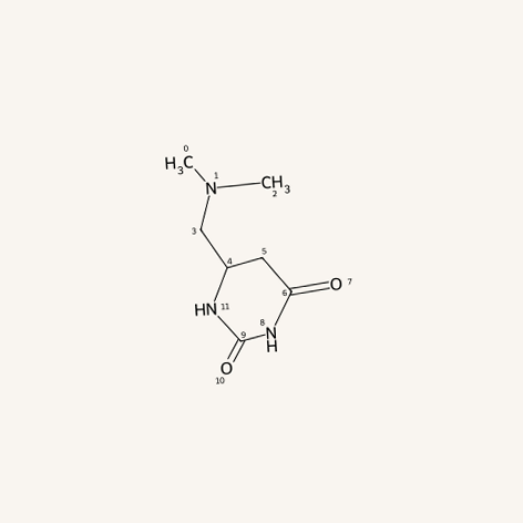 CN(C)CC1CC(=O)NC(=O)N1